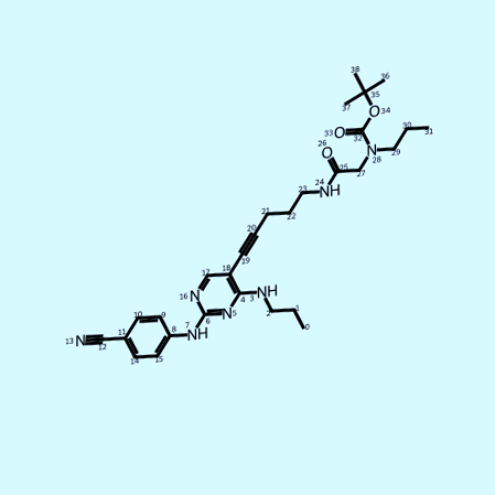 CCCNc1nc(Nc2ccc(C#N)cc2)ncc1C#CCCCNC(=O)CN(CCC)C(=O)OC(C)(C)C